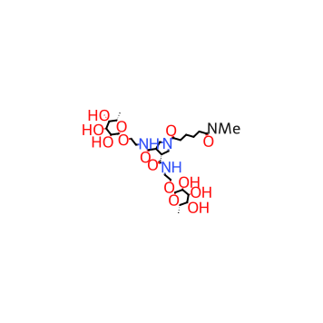 CNC(=O)CCCCC(=O)N1CC(C(=O)NCCO[C@@H]2O[C@@H](C)[C@@H](O)[C@@H](O)[C@@H]2O)[C@@H](C(=O)NCCO[C@@H]2O[C@@H](C)[C@@H](O)[C@@H](O)[C@@H]2O)C1